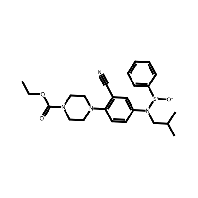 CCOC(=O)N1CCN(c2ccc(N(CC(C)C)[S+]([O-])c3ccccc3)cc2C#N)CC1